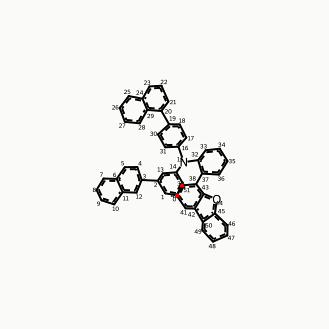 c1cc(-c2ccc3ccccc3c2)cc(N(c2ccc(-c3cccc4ccccc34)cc2)c2ccccc2-c2cccc3c2oc2ccccc23)c1